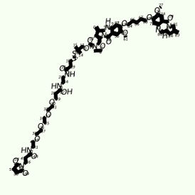 C=C1CC(C2OCCN2C(=O)OCC(C)(C)SSCCC(=O)NCCNC(O)CCOCCOCCOCCOCCNC(=O)CCN2C(=O)C=CC2=O)N(C(=O)c2cc(OC)c(OCCCCCOc3cc4c(cc3OC)C(=O)N3CC(=C)C[C@H]3C=N4)cc2N)C1